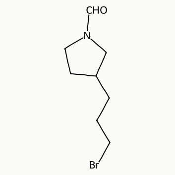 O=CN1CCC(CCCBr)C1